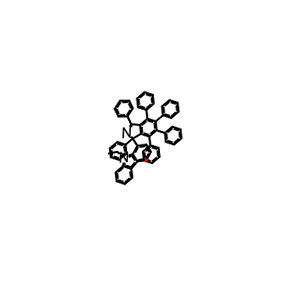 CCn1c2ccccc2c2cccc(C3(c4ccccc4)N=C(c4ccccc4)c4c(-c5ccccc5)c(-c5ccccc5)c(-c5ccccc5)c(-c5ccccc5)c43)c21